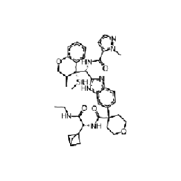 CCNC(=O)[C@H](NC(=O)C1(c2ccc3nc([C@@H](NC(=O)c4ccnn4C)[C@]4([SiH](C)C)c5ccccc5OCC4C)[nH]c3c2)CCOCC1)C12CC(C1)C2